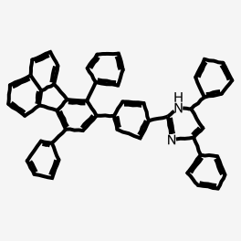 C1=C(c2ccccc2)N=C(c2ccc(-c3cc(-c4ccccc4)c4c(c3-c3ccccc3)-c3cccc5cccc-4c35)cc2)NC1c1ccccc1